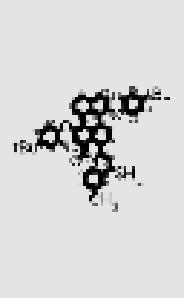 C=c1cc2c3ccc4c5c(Oc6ccc(C(C)(C)C)cc6C(C)(C)C)ccc6cccc(c7c(Oc8ccc(C(C)(C)C)cc8C(C)(C)C)cc(c(=O)n2c2ccc(C)cc12)c3c47)c65